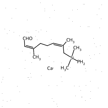 CC(=CCC/C(C)=C\C=O)C[Si](C)(C)P.[Ca]